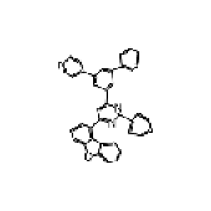 c1ccc(-c2cc(-c3ccncc3)cc(-c3cc(-c4cccc5oc6ccccc6c45)nc(-c4ccccc4)n3)c2)cc1